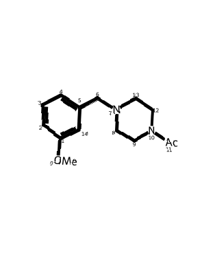 COc1cccc(CN2CCN(C(C)=O)CC2)c1